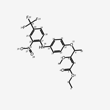 CCOC(=O)C=C(OC)C(C)Oc1ccc(Nc2ccc(C(F)(F)F)cc2[N+](=O)[O-])cc1